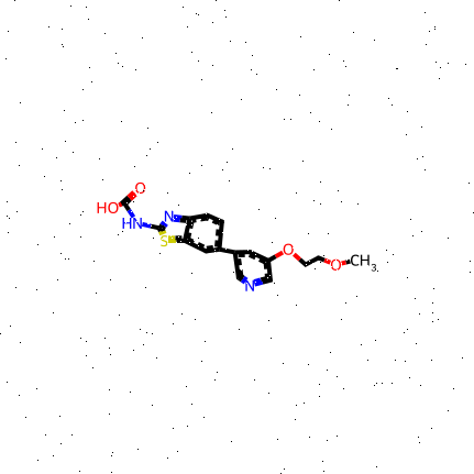 COCCOc1cncc(-c2ccc3nc(NC(=O)O)sc3c2)c1